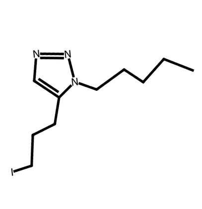 CCCCCn1nncc1CCCI